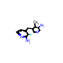 Cc1c(N)cncc1Cc1ccnc(N)c1F